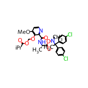 COc1ccnc(C(=O)N[C@@H](C)C(=O)ON(C)C(C)(c2ccc(Cl)cc2)c2ccc(Cl)cc2)c1OCOC(=O)C(C)C